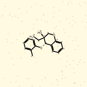 Cc1ccccc1O[C@H]1c2ccccc2OC[C@@]1(O)CN